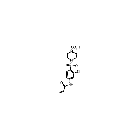 C=CC(=O)Nc1ccc(S(=O)(=O)N2CCN(C(=O)O)CC2)c(Cl)c1